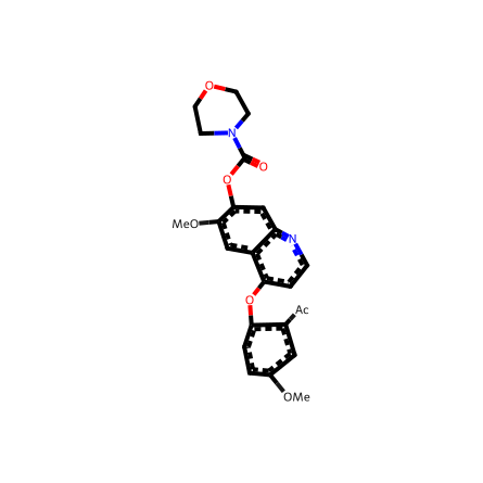 COc1ccc(Oc2ccnc3cc(OC(=O)N4CCOCC4)c(OC)cc23)c(C(C)=O)c1